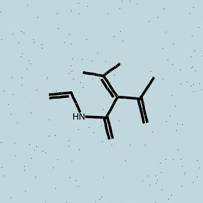 C=CNC(=C)C(C(=C)C)=C(C)C